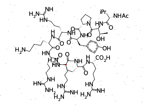 CC(=O)N[C@H](C(=O)N[C@H](C(=O)N1CCC[C@H]1C(=O)N[C@@H](Cc1ccc(O)cc1)C(=O)N[C@@H](CCCNC(=N)N)C(=O)N[C@@H](CCCCN)C(=O)N[C@@H](CCCNC(=N)N)C(=O)N[C@@H](CCCNC(=N)N)C(=O)N[C@@H](CCCCN)C(=O)N[C@@H](CCCNC(=N)N)C(=O)O)[C@@H](C)O)C(C)C